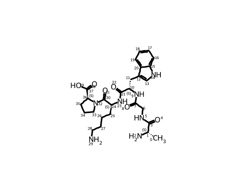 C[C@H](N)C(=O)NCC(=O)N[C@@H](Cc1c[nH]c2ccccc12)C(=O)N[C@@H](CCCCN)C(=O)N1CCC[C@H]1C(=O)O